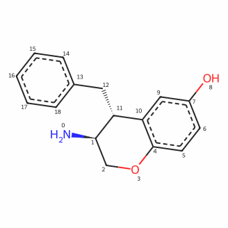 N[C@@H]1COc2ccc(O)cc2[C@H]1Cc1ccccc1